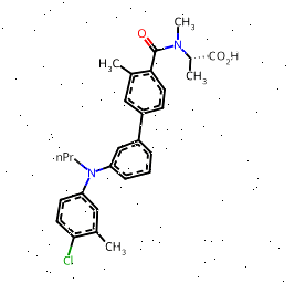 CCCN(c1cccc(-c2ccc(C(=O)N(C)[C@@H](C)C(=O)O)c(C)c2)c1)c1ccc(Cl)c(C)c1